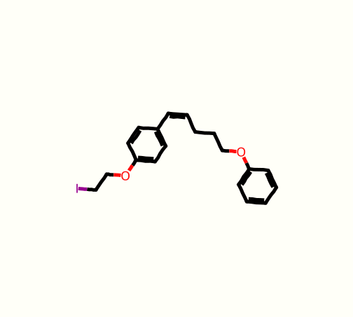 ICCOc1ccc(/C=C\CCCOc2ccccc2)cc1